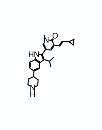 CC(C)c1c(-c2cc(/C=C/C3CC3)c(=O)n(C)c2)[nH]c2ccc(C3CCNCC3)cc12